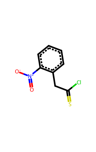 O=[N+]([O-])c1ccccc1CC(=S)Cl